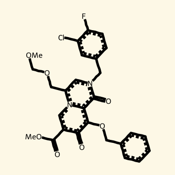 COCOCc1cn(Cc2ccc(F)c(Cl)c2)c(=O)c2c(OCc3ccccc3)c(=O)c(C(=O)OC)cn12